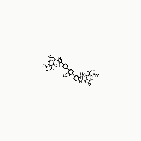 COC(=O)NC(C(=O)N1CC2(CC2)C[C@H]1c1ncc(-c2ccc(-c3ccc(-c4ccc5nc([C@@H]6CC7(CC7)CN6C(=O)[C@@H](NC(=O)OC)C(C)C)[nH]c5c4)c4c3C3CCC3C4)cc2)[nH]1)C(C)C